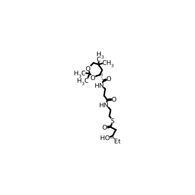 CC[C@H](O)CC(=O)SCCNC(=O)CCNC(=O)[C@H]1CC(C)(C)COC(C)(C)O1